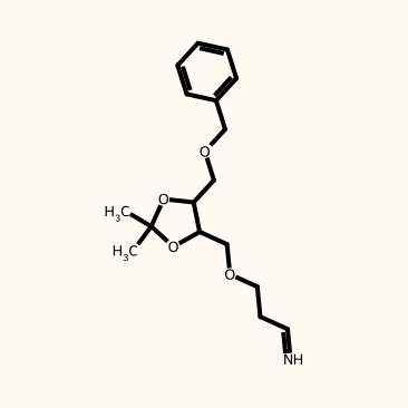 CC1(C)OC(COCCC=N)C(COCc2ccccc2)O1